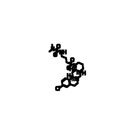 CN(C)S(=O)(=O)NCCCS(=O)(=O)N1CCC[C@@H]2CN3CCc4cc(Cl)ccc4[C@@H]3C[C@@H]21